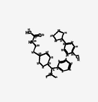 CN(C)C(c1ccccc1)C1CCC(CCNC(=O)O)CC1.Clc1ccc(C2CCCC2)cc1